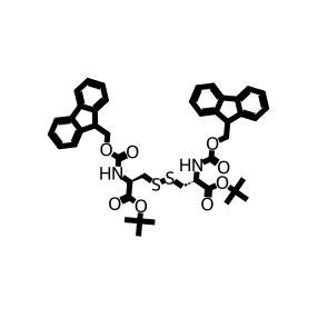 CC(C)(C)OC(=O)[C@H](CSSC[C@H](NC(=O)OCC1c2ccccc2-c2ccccc21)C(=O)OC(C)(C)C)NC(=O)OCC1c2ccccc2-c2ccccc21